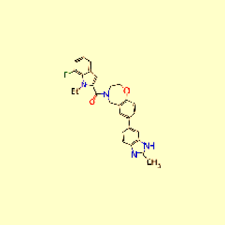 CCn1c(C(=O)N2CCOc3ccc(-c4ccc5nc(C)[nH]c5c4)cc3C2)cc2cccc(F)c21